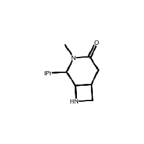 CC(C)C1C2NCC2CC(=O)N1C